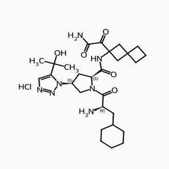 CC(C)(O)c1cnnn1[C@H]1C[C@@H](C(=O)NC2(C(=O)C(N)=O)CC3(CCC3)C2)N(C(=O)[C@H](N)CC2CCCCC2)C1.Cl